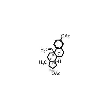 C=C[C@]12CC[C@]3(C)C[C@H](OC(C)=O)C[C@H]3[C@@H]1CCc1cc(OC(C)=O)ccc12